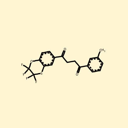 Cc1cccc(C(=O)CCC(=O)c2ccc3c(c2)SC(F)(F)C(F)(F)O3)c1